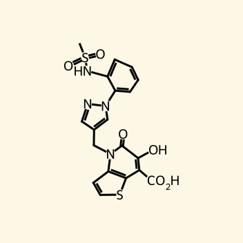 CS(=O)(=O)Nc1ccccc1-n1cc(Cn2c(=O)c(O)c(C(=O)O)c3sccc32)cn1